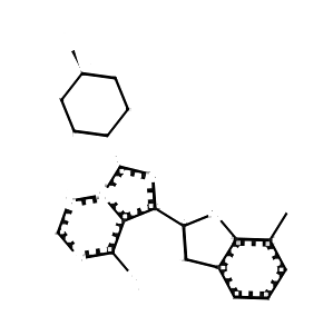 Cc1cccc2c1NC(c1nc([C@H]3CC[C@H](C(=O)O)CC3)n3ncnc(N)c13)C2